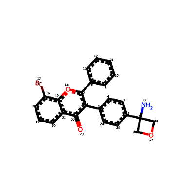 NC1(c2ccc(-c3c(-c4ccccc4)oc4c(Br)cccc4c3=O)cc2)COC1